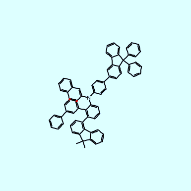 CC1(C)c2ccccc2-c2c(-c3cccc(N(c4ccc(-c5ccc6c(c5)-c5ccccc5C6(c5ccccc5)c5ccccc5)cc4)c4ccc5ccccc5c4)c3-c3cccc(-c4ccccc4)c3)cccc21